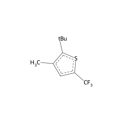 Cc1cc(C(F)(F)F)sc1C(C)(C)C